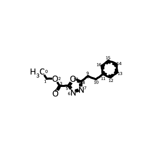 CCOC(=O)c1nnc([CH]Cc2ccccc2)o1